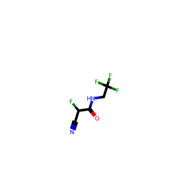 N#CC(F)C(=O)NCC(F)(F)F